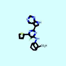 O=C(O)C1C2CCC(CC2)C1Nc1nc(-c2c[nH]c3ncncc23)nc(-c2cccs2)c1F